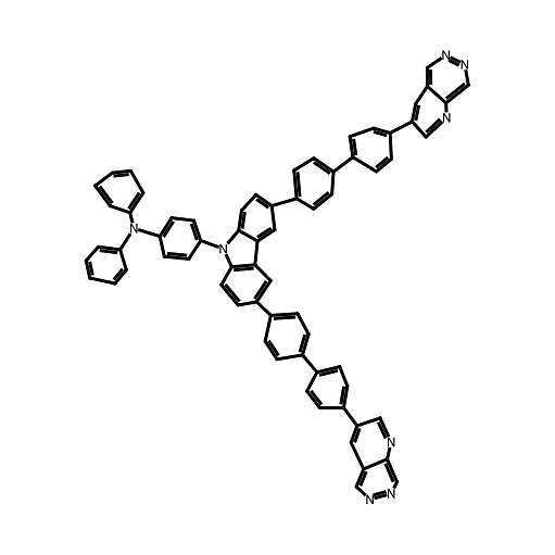 c1ccc(N(c2ccccc2)c2ccc(-n3c4ccc(-c5ccc(-c6ccc(-c7cnc8cnncc8c7)cc6)cc5)cc4c4cc(-c5ccc(-c6ccc(-c7cnc8cnncc8c7)cc6)cc5)ccc43)cc2)cc1